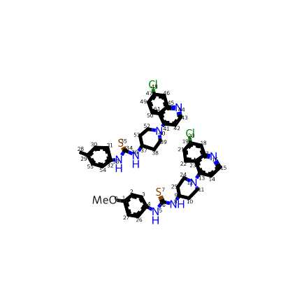 COc1ccc(NC(=S)NC2CCN(c3ccnc4cc(Cl)ccc34)CC2)cc1.Cc1ccc(NC(=S)NC2CCN(c3ccnc4cc(Cl)ccc34)CC2)cc1